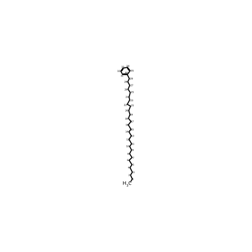 CCCCCCCCCCCCCCCCCCCCCCCCCCCC[CH]Cc1ccccc1